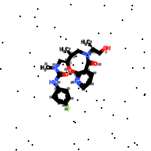 C[C@H](CO)N1C[C@H](C)[C@H](CN(C)C(=O)Nc2ccc(F)cc2)Oc2ncccc2C1=O